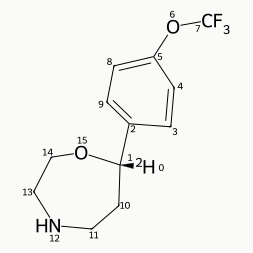 [2H][C@@]1(c2ccc(OC(F)(F)F)cc2)CCNCCO1